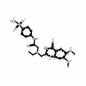 CCN(CC(=O)Nc1ccc(S(N)(=O)=O)cc1)Cc1nc2cc(OC)c(OC)cc2c(=O)[nH]1